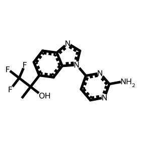 CC(O)(c1ccc2ncn(-c3ccnc(N)n3)c2c1)C(F)(F)F